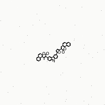 Cc1c(-c2ccc3c(c2)c2cc(-c4ccc(-c5cc6ccc7ccccc7c6oc5=O)o4)ccc2n3C)c(=O)oc2ccc3ccccc3c12